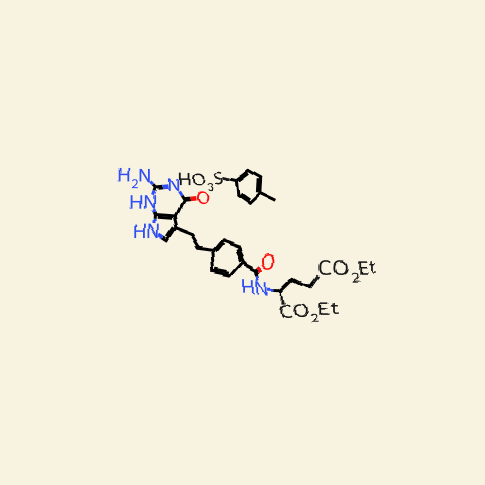 CCOC(=O)CC[C@H](NC(=O)c1ccc(CCc2c[nH]c3[nH]c(N)nc(=O)c23)cc1)C(=O)OCC.Cc1ccc(S(=O)(=O)O)cc1